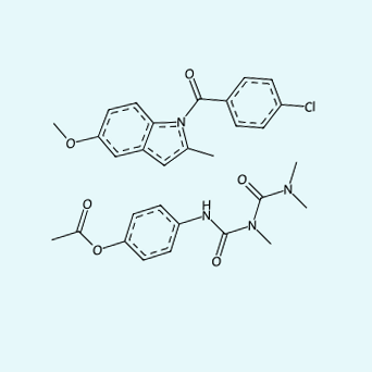 CC(=O)Oc1ccc(NC(=O)N(C)C(=O)N(C)C)cc1.COc1ccc2c(c1)cc(C)n2C(=O)c1ccc(Cl)cc1